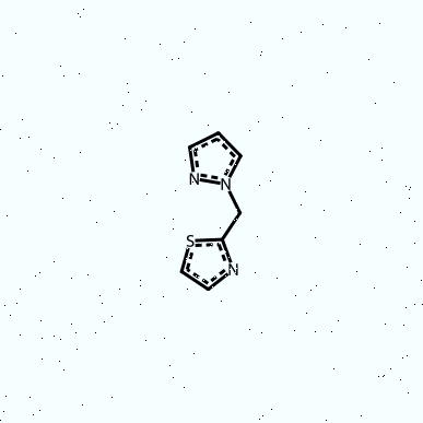 c1cnn(Cc2nccs2)c1